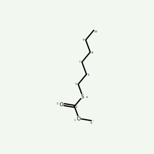 [CH2]OC(=O)SCCCCCC